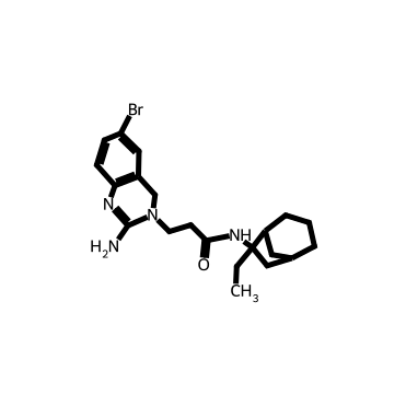 CCC1(NC(=O)CCN2Cc3cc(Br)ccc3N=C2N)CC2CCCC1C2